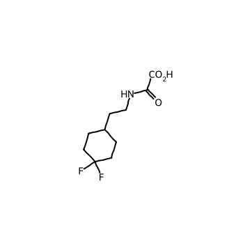 O=C(O)C(=O)NCCC1CCC(F)(F)CC1